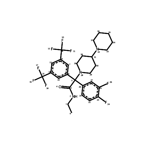 CCNC(=O)C(c1cc(C(F)(F)F)cc(C(F)(F)F)c1)(c1ccc(F)c(F)c1)N1CCC(N2CCCCC2)CC1